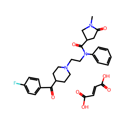 CN1CC(C(=O)N(CCN2CCC(C(=O)c3ccc(F)cc3)CC2)c2ccccc2)CC1=O.O=C(O)C=CC(=O)O